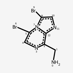 NCc1ncc(Br)n2c(Br)cnc12